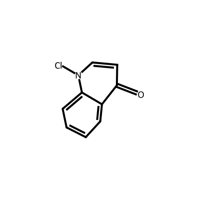 O=c1ccn(Cl)c2ccccc12